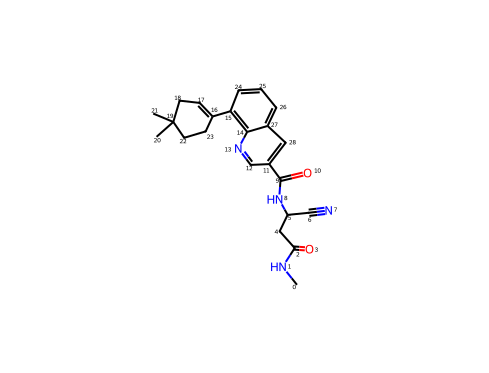 CNC(=O)CC(C#N)NC(=O)c1cnc2c(C3=CCC(C)(C)CC3)cccc2c1